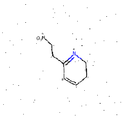 O=[N+]([O-])CCC1=NCCC=C1